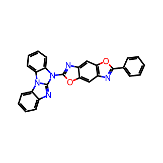 c1ccc(-c2nc3cc4oc(-n5c6ccccc6n6c7ccccc7nc56)nc4cc3o2)cc1